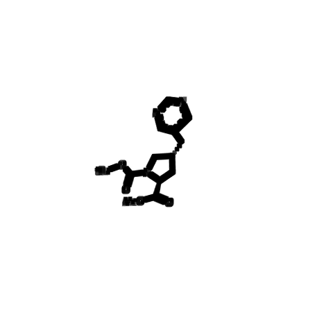 COC(=O)[C@@H]1C[C@@H](Cc2cncnc2)CN1C(=O)OC(C)(C)C